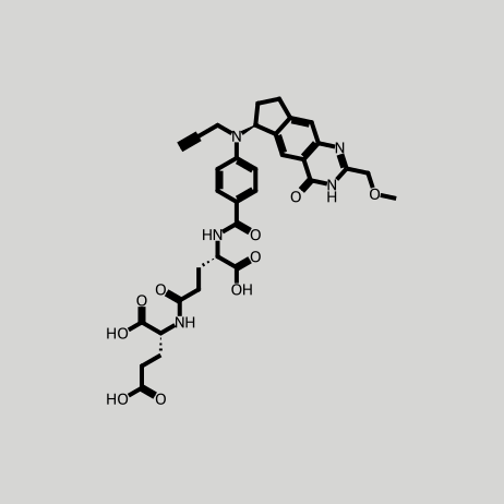 C#CCN(c1ccc(C(=O)N[C@@H](CCC(=O)N[C@H](CCC(=O)O)C(=O)O)C(=O)O)cc1)[C@H]1CCc2cc3nc(COC)[nH]c(=O)c3cc21